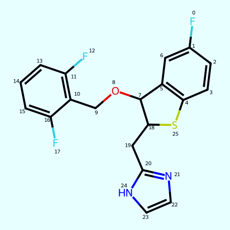 Fc1ccc2c(c1)C(OCc1c(F)cccc1F)C(Cc1ncc[nH]1)S2